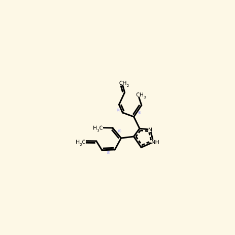 C=C/C=C\C(=C/C)c1c[nH]nc1C(/C=C\C=C)=C/C